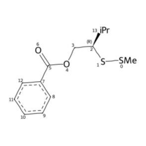 CSS[C@@H](COC(=O)c1ccccc1)C(C)C